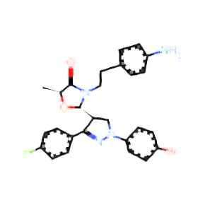 C[C@@H]1O[C@H](C2CN(c3ccc(Br)cc3)N=C2c2ccc(F)cc2)N(CCc2ccc(N)cc2)C1=O